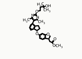 COC(=O)CC1COc2cc(O[C@@H]3CCc4c(-c5c(C)nc(OCCC(C)(C)O)nc5C)cccc43)ccc21